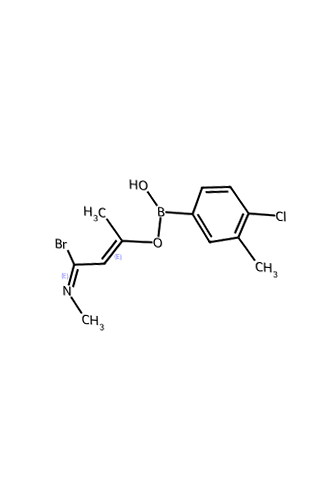 C/N=C(Br)\C=C(/C)OB(O)c1ccc(Cl)c(C)c1